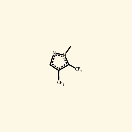 Cn1ncc(C(F)(F)F)c1C(F)(F)F